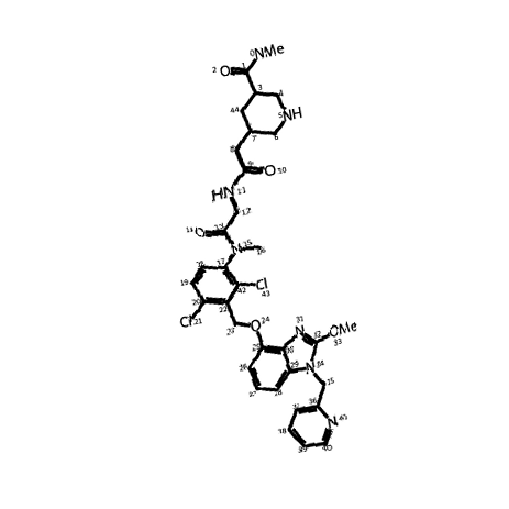 CNC(=O)C1CNCC(CC(=O)NCC(=O)N(C)c2ccc(Cl)c(COc3cccc4c3nc(OC)n4Cc3ccccn3)c2Cl)C1